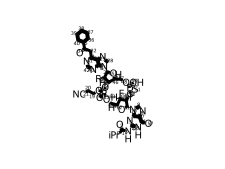 CC(C)C(=O)Nc1nc2c(ncn2[C@@H]2O[C@@H]3COP(=O)(OCCC#N)O[C@H]4[C@@H](F)[C@H](n5cnc6c(CC(=O)c7ccccc7)ncnc65)O[C@@H]4COP(O)(=S)O[C@@H]2[C@@H]3F)c(=O)[nH]1